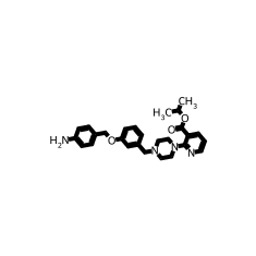 CC(C)OC(=O)c1cccnc1N1CCN(Cc2cccc(OCc3ccc(N)cc3)c2)CC1